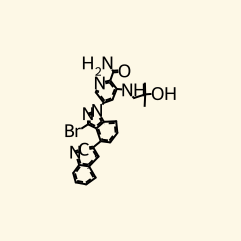 CC(C)(O)CNc1cc(-n2nc(Br)c3c(-c4cnc5ccccc5c4)cccc32)cnc1C(N)=O